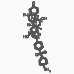 C[C@]12C=CC(=O)C=C1[C@@H](F)C[C@H]1[C@@H]3C[C@H]4O[C@@H](c5ccc(S(=O)(=O)c6ccc(N)cc6)cc5)O[C@@]4(C(O)CO)[C@@]3(C)C[C@H](O)[C@@]12F